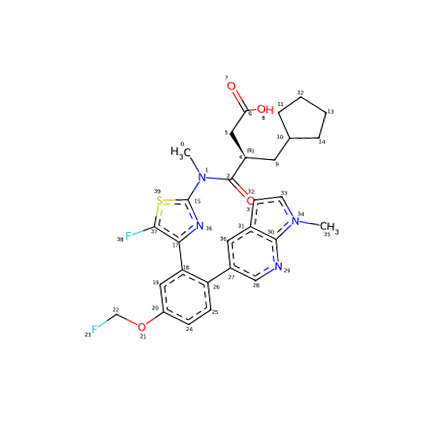 CN(C(=O)[C@@H](CC(=O)O)CC1CCCC1)c1nc(-c2cc(OCF)ccc2-c2cnc3c(ccn3C)c2)c(F)s1